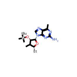 CC[C@H]1O[C@@H](n2cnc3c(C)nc(N)nc32)[C@@H](O[Si](C)(C)C(C)(C)C)C1C